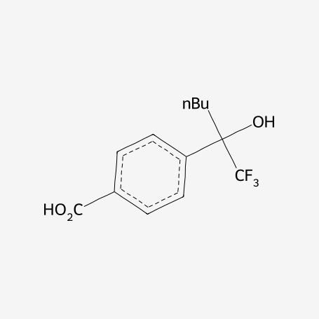 CCCCC(O)(c1ccc(C(=O)O)cc1)C(F)(F)F